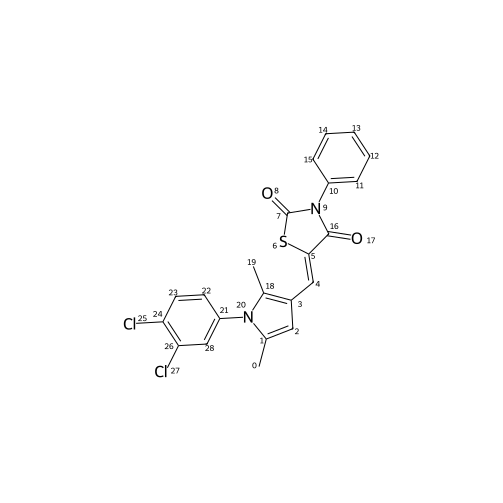 Cc1cc(C=C2SC(=O)N(c3ccccc3)C2=O)c(C)n1-c1ccc(Cl)c(Cl)c1